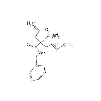 C=CCC(C/C=C/C)(C(N)=O)C(=O)NCc1ccccc1